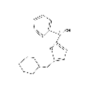 O[C@@H](c1ccccc1)c1ncc(CN2CCCCC2)o1